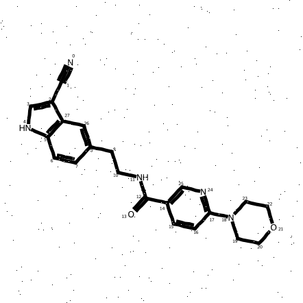 N#Cc1c[nH]c2ccc(CCNC(=O)c3ccc(N4CCOCC4)nc3)cc12